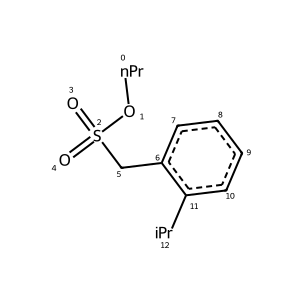 CCCOS(=O)(=O)Cc1ccccc1C(C)C